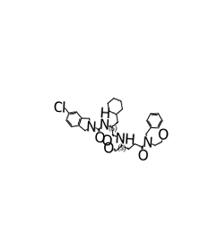 O=C[C@H](CCC(=O)N1CCOc2ccccc2C1)NC(=O)[C@H](CC1CCCCC1)NC(=O)N1Cc2ccc(Cl)cc2C1